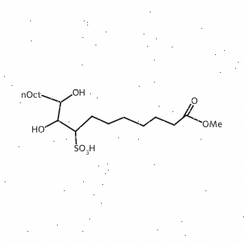 CCCCCCCCC(O)C(O)C(CCCCCCC(=O)OC)S(=O)(=O)O